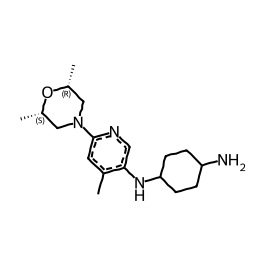 Cc1cc(N2C[C@@H](C)O[C@@H](C)C2)ncc1NC1CCC(N)CC1